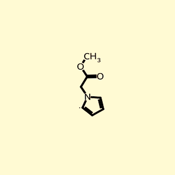 COC(=O)Cn1[c]ccc1